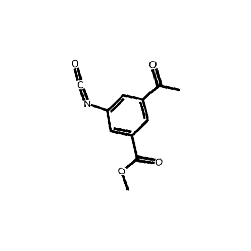 COC(=O)c1cc(N=C=O)cc(C(C)=O)c1